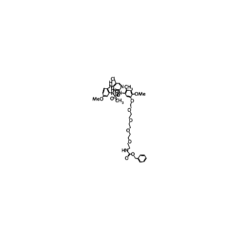 COc1ccc(Nc2nc(Nc3cc(OCCOCCOCCOCCOCCNC(=O)OCc4ccccc4)c(OC)cc3C)ncc2Cl)c(NS(C)(=O)=O)c1